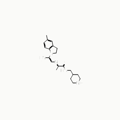 C/C(=N\C=C(\N)N1CCc2cc(C)ccc21)C(=O)NCC1CCNCC1